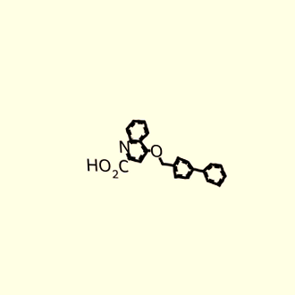 O=C(O)c1cc(OCc2ccc(-c3ccccc3)cc2)c2ccccc2n1